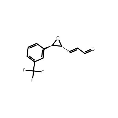 O=C/C=C/[C@H]1O[C@@H]1c1cccc(C(F)(F)F)c1